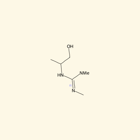 C/N=C(\NC)NC(C)CO